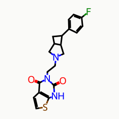 O=c1[nH]c2sccc2c(=O)n1CCN1CC2CC(c3ccc(F)cc3)C2C1